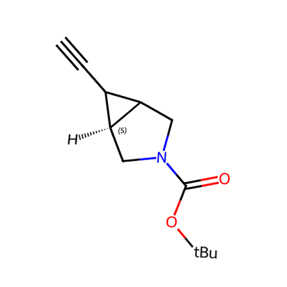 C#CC1C2CN(C(=O)OC(C)(C)C)C[C@@H]12